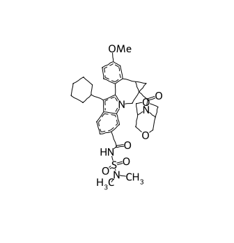 COc1ccc2c(c1)C1CC1(C(=O)N1C3COCC1COC3)Cn1c-2c(C2CCCCC2)c2ccc(C(=O)NS(=O)(=O)N(C)C)cc21